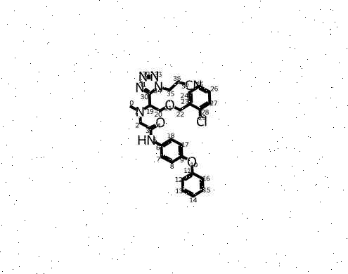 CN(CC(=O)Nc1ccc(Oc2ccccc2)cc1)C(COCc1ccccc1Cl)c1nnnn1CCC#N